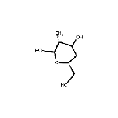 C[C@@H]1C(O)C[C@@H](CO)OC1O